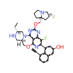 C#Cc1cccc2cc(O)cc(-c3nc4c5c(nc(OC[C@]67CCCN6C[C@H](F)C7)nc5c3F)N3C[C@@H](CC)NC[C@@H]3CO4)c12